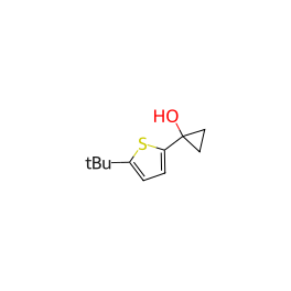 CC(C)(C)c1ccc(C2(O)CC2)s1